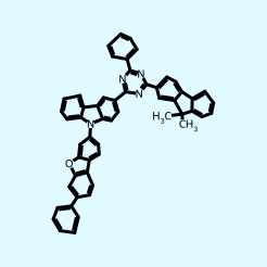 CC1(C)c2ccccc2-c2ccc(-c3nc(-c4ccccc4)nc(-c4ccc5c(c4)c4ccccc4n5-c4ccc5c(c4)oc4cc(-c6ccccc6)ccc45)n3)cc21